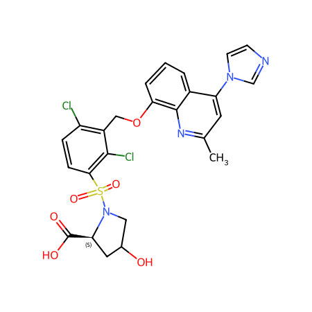 Cc1cc(-n2ccnc2)c2cccc(OCc3c(Cl)ccc(S(=O)(=O)N4CC(O)C[C@H]4C(=O)O)c3Cl)c2n1